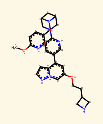 COc1ccc(CN2C3CC2CN(c2ccc(-c4cc(OCCC5CNC5)cn5nccc45)cn2)C3)cn1